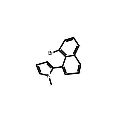 Cn1cccc1-c1cccc2cccc(Br)c12